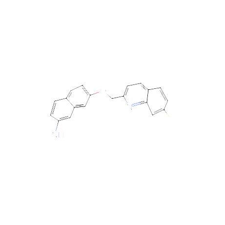 Nc1ccc2ccc(OCc3ccc4ccc(F)cc4n3)cc2c1